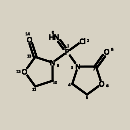 N=P(Cl)(N1CCOC1=O)N1CCOC1=O